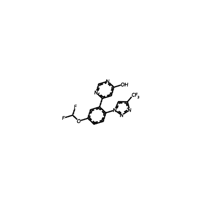 Oc1cc(-c2cc(OC(F)F)ccc2-n2cc(C(F)(F)F)nn2)ncn1